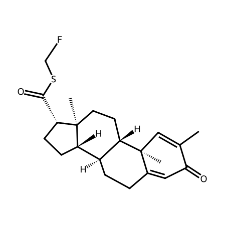 CC1=C[C@@]2(C)C(=CC1=O)CC[C@H]1[C@@H]3CC[C@H](C(=O)SCF)[C@@]3(C)CC[C@@H]12